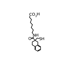 O=C(O)CCCCCCCNC(=O)C1(CS)CCc2ccccc2C1